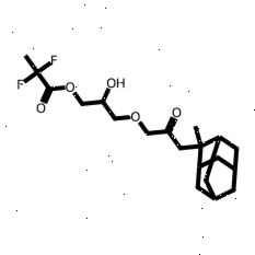 CC(F)(F)C(=O)OCC(O)COCC(=O)CC1(C)C2CC3CC(C2)CC1C3